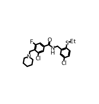 CCSc1ccc(Cl)cc1CNC(=O)c1cc(F)c(CN2CCCCC2)c(Cl)c1